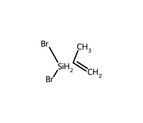 Br[SiH2]Br.C=CC